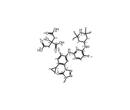 Cn1nnn(-c2cc(Nc3ncc(F)c(NC4CC(C)(C)NC(C)(C)C4)n3)c(F)cc2C2CC2)c1=O.O=C(O)CC(O)(CC(=O)O)C(=O)O